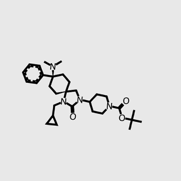 CN(C)[C@]1(c2ccccc2)CC[C@@]2(CC1)CN(C1CCN(C(=O)OC(C)(C)C)CC1)C(=O)N2CC1CC1